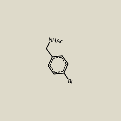 CC(=O)NCc1ccc(Br)cc1